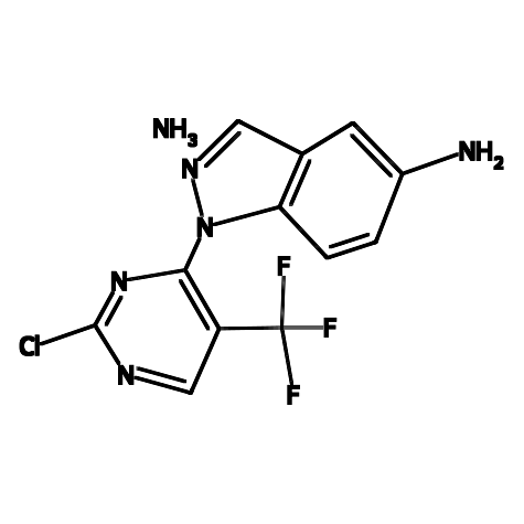 N.Nc1ccc2c(cnn2-c2nc(Cl)ncc2C(F)(F)F)c1